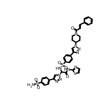 NS(=O)(=O)c1ccc(-c2cn(C(NS(=O)(=O)c3ccc(-c4cn(C5CCN(C(=O)/C=C/c6ccccc6)CC5)nn4)cc3)C(=O)Nc3nccs3)nn2)cc1